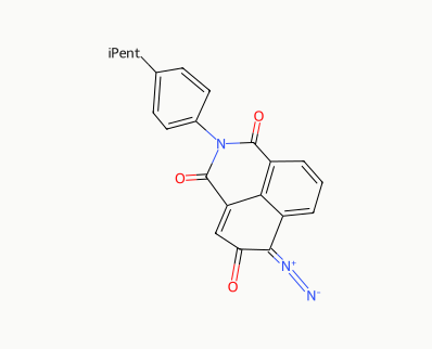 CCCC(C)c1ccc(N2C(=O)C3=CC(=O)C(=[N+]=[N-])c4cccc(c43)C2=O)cc1